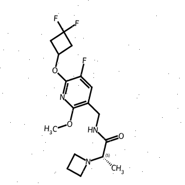 COc1nc(OC2CC(F)(F)C2)c(F)cc1CNC(=O)[C@H](C)N1CCC1